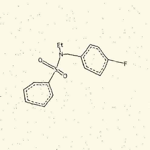 [CH2]CN(c1ccc(F)cc1)S(=O)(=O)c1ccccc1